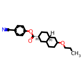 CCCOC1CCC2C[C@H](C(=O)Oc3ccc(C#N)cc3)CC[C@@H]2C1